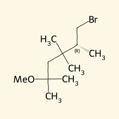 COC(C)(C)CC(C)(C)[C@@H](C)CBr